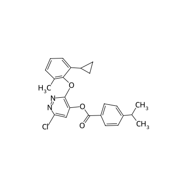 Cc1cccc(C2CC2)c1Oc1nnc(Cl)cc1OC(=O)c1ccc(C(C)C)cc1